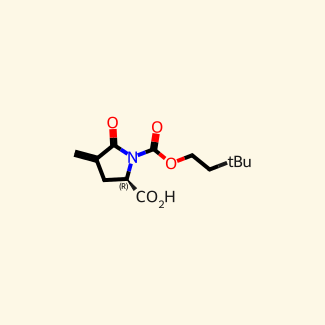 C=C1C[C@H](C(=O)O)N(C(=O)OCCC(C)(C)C)C1=O